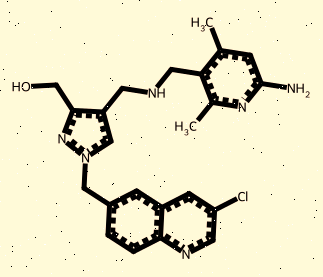 Cc1cc(N)nc(C)c1CNCc1cn(Cc2ccc3ncc(Cl)cc3c2)nc1CO